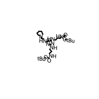 CC(C)(C)OC(=O)NCCCNc1nc(NCCCNC(=O)OC(C)(C)C)nc(NCCN2CCCCC2)n1